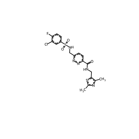 Cc1nc(C)c(CNC(=O)c2ccc(CNS(=O)(=O)c3ccc(F)c(Cl)c3)nn2)s1